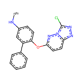 CCCNc1ccc(Oc2ccc3nnc(Cl)n3n2)c(-c2ccccc2)c1